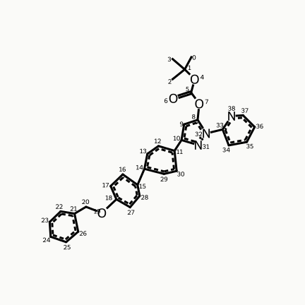 CC(C)(C)OC(=O)Oc1cc(-c2ccc(-c3ccc(OCc4ccccc4)cc3)cc2)nn1-c1ccccn1